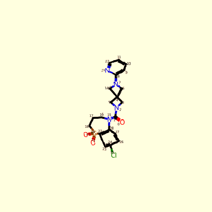 O=C(N1CC2(C1)CN(c1ccccn1)C2)N1CCCS(=O)(=O)c2cc(Cl)ccc21